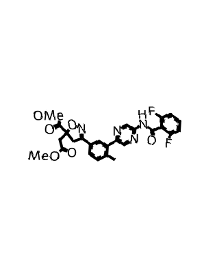 COC(=O)CC1(C(=O)OC)CC(c2ccc(C)c(-c3cnc(NC(=O)c4c(F)cccc4F)cn3)c2)=NO1